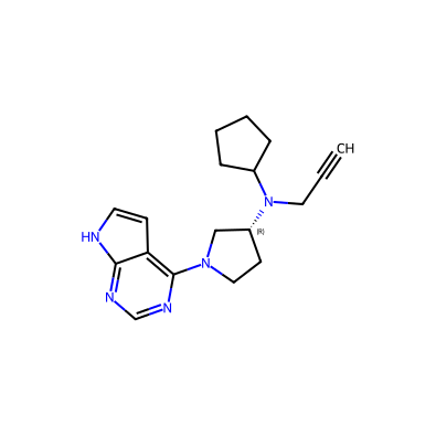 C#CCN(C1CCCC1)[C@@H]1CCN(c2ncnc3[nH]ccc23)C1